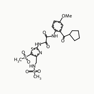 COc1ccc(NC(=O)C(=O)Nc2nc(CNS(C)(=O)=O)c(S(C)(=O)=O)s2)c(C(=O)C2CCCC2)c1